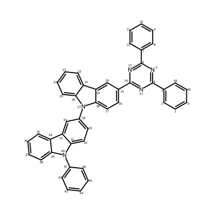 c1ccc(-c2nc(-c3ccccc3)nc(-c3ccc4c(c3)c3ccccc3n4-c3ccc4c(c3)c3ccccc3n4-c3ccccc3)n2)cc1